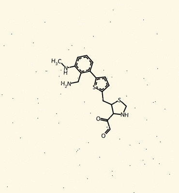 CNc1cccc(-c2ccc(CC3SCNC3C(=O)C=O)s2)c1CN